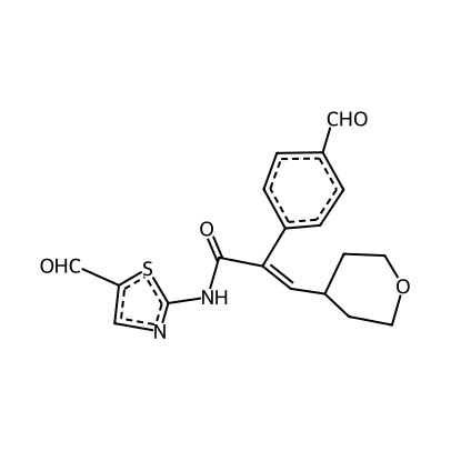 O=Cc1ccc(/C(=C\C2CCOCC2)C(=O)Nc2ncc(C=O)s2)cc1